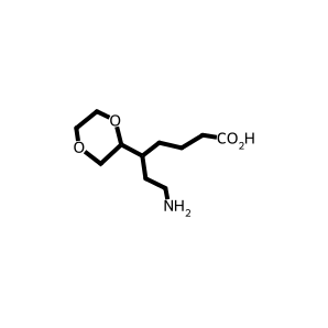 NCCC(CCCC(=O)O)C1COCCO1